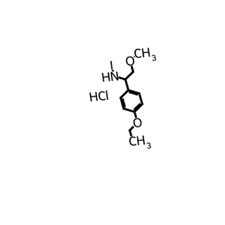 CCOc1ccc(C(COC)NI)cc1.Cl